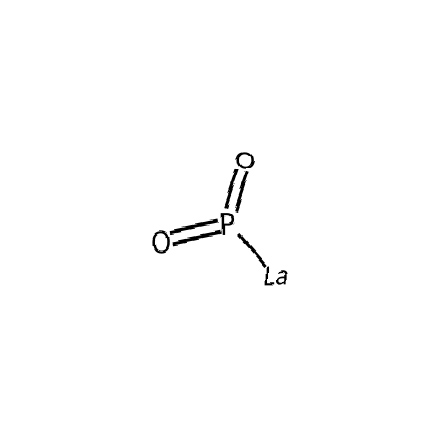 O=[P](=O)[La]